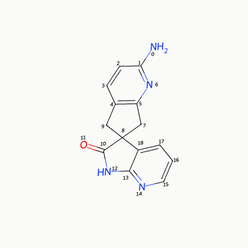 Nc1ccc2c(n1)CC1(C2)C(=O)Nc2ncccc21